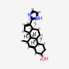 CC1C=C2CC(O)CC[C@]2(C)[C@@H]2CC[C@]3(C)C(c4ncc[nH]4)=CC[C@H]3[C@H]12